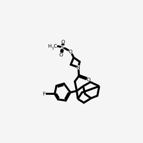 CS(=O)(=O)OC1CN(C(=O)CC2(c3ccc(F)cc3)C3CC4CC(C3)CC2C4)C1